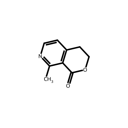 Cc1nccc2c1C(=O)OCC2